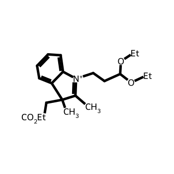 CCOC(=O)CC1(C)C(C)=[N+](CCC(OCC)OCC)c2ccccc21